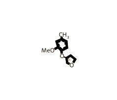 COc1cc(C)ccc1O[C@H]1CCOC1